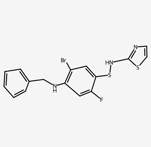 Fc1cc(NCc2ccccc2)c(Br)cc1SNc1nccs1